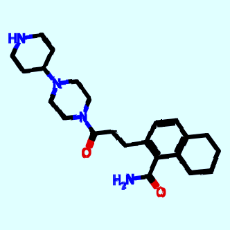 NC(=O)c1c(C[CH]C(=O)N2CCN(C3CCNCC3)CC2)ccc2c1CCCC2